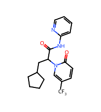 O=C(Nc1ccccn1)C(CC1CCCC1)n1cc(C(F)(F)F)ccc1=O